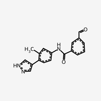 Cc1cc(NC(=O)c2cccc(C=O)c2)ccc1-c1cn[nH]c1